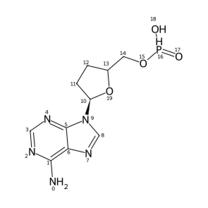 Nc1ncnc2c1ncn2[C@H]1CCC(CO[PH](=O)O)O1